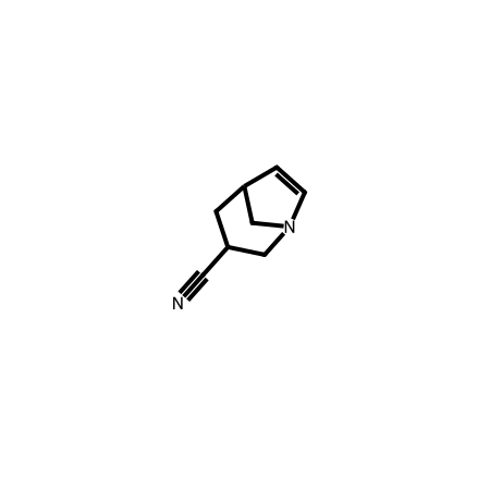 N#CC1CC2C=CN(C1)C2